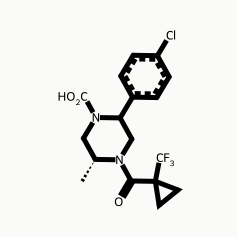 C[C@@H]1CN(C(=O)O)C(c2ccc(Cl)cc2)CN1C(=O)C1(C(F)(F)F)CC1